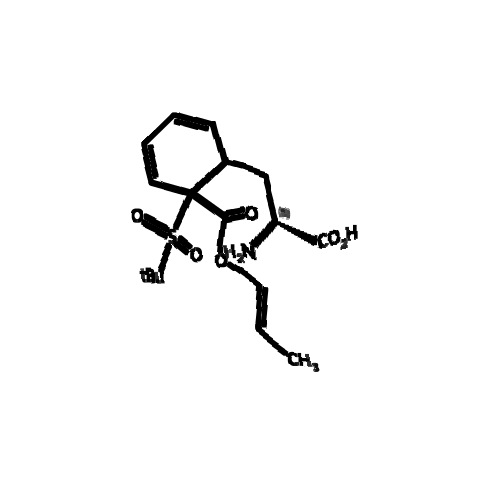 CC=COC(=O)C1(S(=O)(=O)C(C)(C)C)C=CC=CC1C[C@H](N)C(=O)O